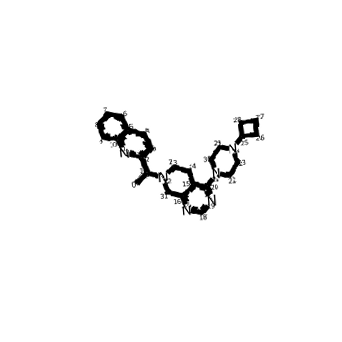 CC(c1ccc2ccccc2n1)N1CCc2c(ncnc2N2CCN(C3CCC3)CC2)C1